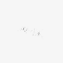 Cc1nc2c(-c3[nH]c4ccc(C5CCN(CC(C)(C)O)CC5)cc4c3C(C)C)ccc(C)n2n1